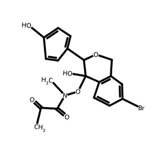 CC(=O)C(=O)N(C)OC1(O)c2ccc(Br)cc2COC1c1ccc(O)cc1